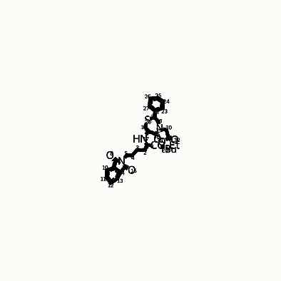 CCOC(=O)C(CCCCN1C(=O)c2ccccc2C1=O)NC1CSC(c2ccccc2)CN(CC(=O)OC(C)(C)C)C1=O